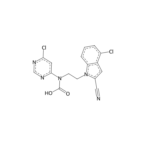 N#Cc1cc2c(Cl)cccc2n1CCN(C(=O)O)c1cc(Cl)ncn1